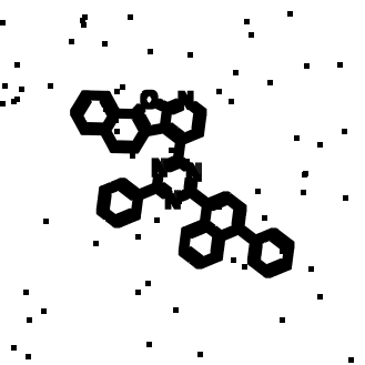 c1ccc(-c2nc(-c3ccc(-c4ccccc4)c4ccccc34)nc(-c3ccnc4oc5c6ccccc6ccc5c34)n2)cc1